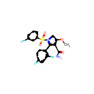 COc1cn(S(=O)(=O)c2cccc(F)c2)c(-c2ccc(F)cc2F)c1C(N)=O